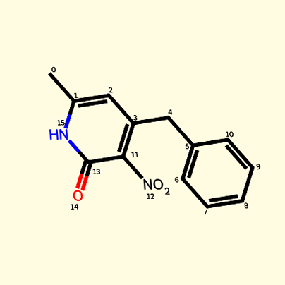 Cc1cc(Cc2ccccc2)c([N+](=O)[O-])c(=O)[nH]1